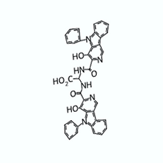 O=C(NC(NC(=O)c1ncc2c3ccccc3n(-c3ccccc3)c2c1O)C(=O)O)c1ncc2c3ccccc3n(-c3ccccc3)c2c1O